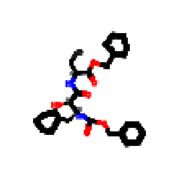 CC(C)C[C@H](NC(=O)[C@@H](O)[C@@H](Cc1ccccc1)NC(=O)OCc1ccccc1)C(=O)OCc1ccccc1